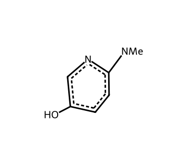 CNc1ccc(O)cn1